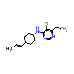 CC=C[C@H]1CC[C@H](Nc2ncnc(CC)c2Cl)CC1